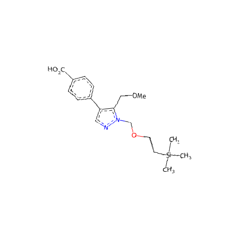 COCc1c(-c2ccc(C(=O)O)cc2)cnn1COCC[Si](C)(C)C